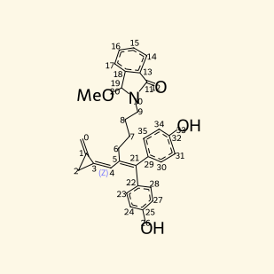 C=C1C/C1=C/C(CCCCN1C(=O)c2ccccc2C1OC)=C(c1ccc(O)cc1)c1ccc(O)cc1